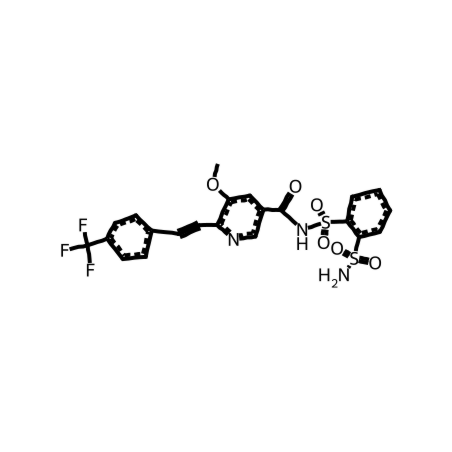 COc1cc(C(=O)NS(=O)(=O)c2ccccc2S(N)(=O)=O)cnc1C#Cc1ccc(C(F)(F)F)cc1